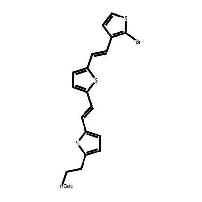 CCCCCCCCCCCCc1ccc(C=Cc2ccc(C=Cc3ccsc3Br)s2)s1